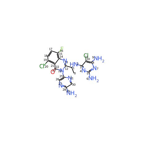 CC(Nc1nc(N)nc(N)c1Cl)c1nc2c(F)ccc(Cl)c2c(=O)n1-c1cnc(N)cn1